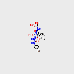 CC(C)C1(CC(=O)NC(CO)CO)NC(O)N(NC(=O)Nc2ccc(Br)cc2)C1=O